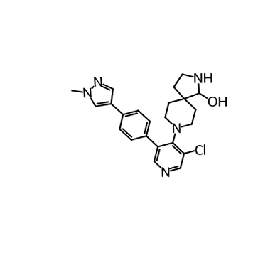 Cn1cc(-c2ccc(-c3cncc(Cl)c3N3CCC4(CCNC4O)CC3)cc2)cn1